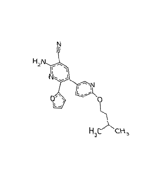 CC(C)CCOc1ccc(-c2cc(C#N)c(N)nc2-c2ccco2)cn1